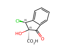 O=C(O)[C@@]1(O)C(=O)c2ccccc2[C@@H]1Cl